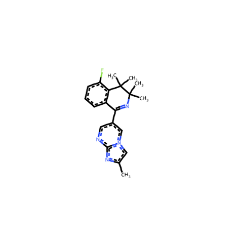 Cc1cn2cc(C3=NC(C)(C)C(C)(C)c4c(F)cccc43)cnc2n1